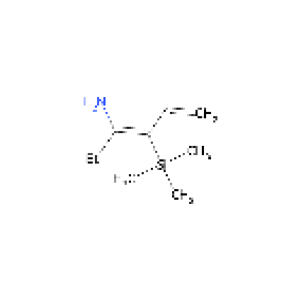 C=CC(=C(N)CC)[Si](C)(C)C